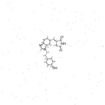 O=C1NC(=O)C(=Cc2ccc3ncn(CCc4ccc(O)cc4)c3c2)S1